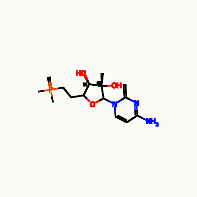 C=C1N=C(N)C=CN1C1OC(CCP(=C)(C)C)[C@@H](O)[C@]1(C)O